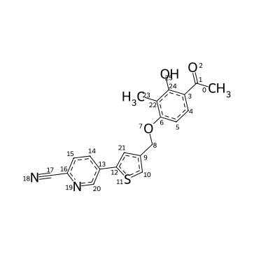 CC(=O)c1ccc(OCc2csc(-c3ccc(C#N)nc3)c2)c(C)c1O